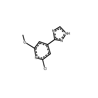 COc1cc(-c2nc[nH]n2)cc(Cl)n1